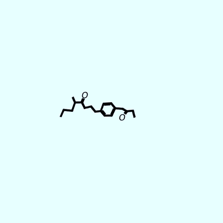 CCCC(C)C(=O)CCCc1ccc(CC(=O)CC)cc1